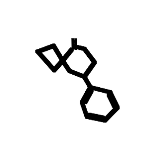 c1ccc(C2CCNC3(CCC3)C2)cc1